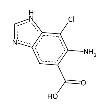 Nc1c(C(=O)O)cc2nc[nH]c2c1Cl